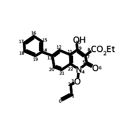 C=CCOn1c(=O)c(C(=O)OCC)c(O)c2cc(-c3ccccc3)ccc21